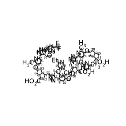 CCc1cc(OCc2c(-c3ccc(OC4CC5C(Cn6nnc(-c7ccc(OC8CC9CCC(C(=O)O)C9C8)c(C)n7)c6COc6nccc(C(F)(F)F)n6)CC(C(=O)O)C5C4)c(C)n3)nnn2CC2CC(C(=O)O)C3CC(Oc4ccc(-c5nnn(C)c5COc5nccc(C(F)F)n5)nc4C)CC23)ncn1